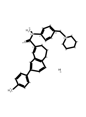 Cc1ccc(-c2ccc3c(c2)C=C(C(=O)N(C)c2ccc(CN4CCCCC4)cc2)CCC3)cc1.I